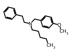 CCCCCN(CCc1ccccc1)Cc1ccc(OC)cc1